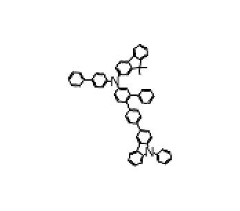 CC1(C)c2ccccc2-c2ccc(N(c3ccc(-c4ccccc4)cc3)c3ccc(-c4ccc(-c5ccc6c(c5)c5ccccc5n6-c5ccccc5)cc4)c(-c4ccccc4)c3)cc21